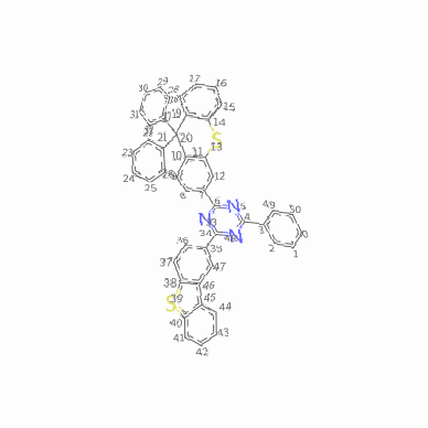 c1ccc(-c2nc(-c3ccc4c(c3)Sc3ccccc3C4(c3ccccc3)c3ccccc3)nc(-c3ccc4sc5ccccc5c4c3)n2)cc1